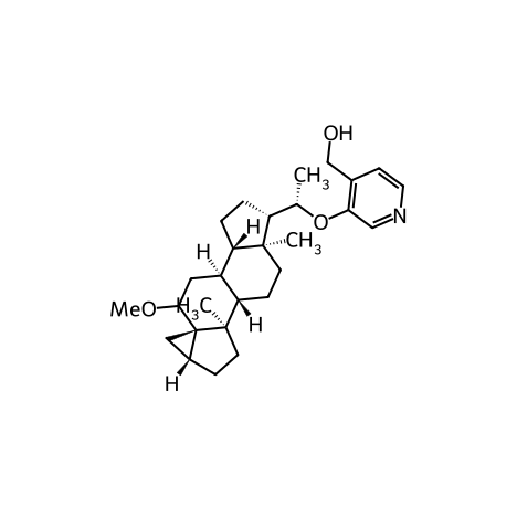 COC1C[C@H]2[C@@H]3CC[C@H]([C@H](C)Oc4cnccc4CO)[C@@]3(C)CC[C@@H]2[C@@]2(C)CC[C@@H]3C[C@]132